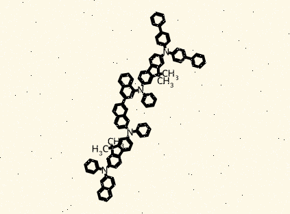 CC1(C)c2cc(N(c3ccccc3)c3ccc4ccccc4c3)ccc2-c2ccc(N(c3ccccc3)c3ccc4ccc(-c5cc(N(c6ccccc6)c6ccc7c(c6)C(C)(C)c6cc(N(c8ccc(-c9ccccc9)cc8)c8ccc(-c9ccccc9)cc8)ccc6-7)c6ccccc6c5)cc4c3)cc21